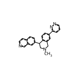 CN1Cc2cc(-c3cccnn3)ccc2C(c2ccc3ccncc3c2)C1